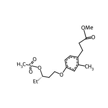 CC[C@@H](CCOc1ccc(CCC(=O)OC)c(C)c1)OS(C)(=O)=O